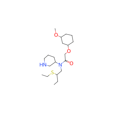 CCSC(CC)CN(C(=O)COC1CCCC(OC)C1)C1CCCNC1